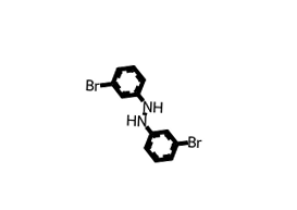 Brc1cccc(NNc2cccc(Br)c2)c1